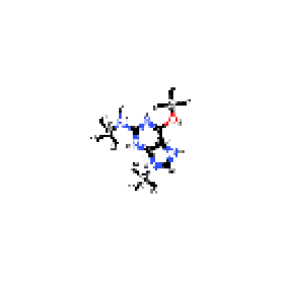 CN(c1nc(O[Si](C)(C)C)c2ncn([Si](C)(C)C)c2n1)[Si](C)(C)C